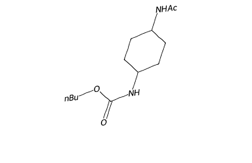 CCCCOC(=O)NC1CCC(NC(C)=O)CC1